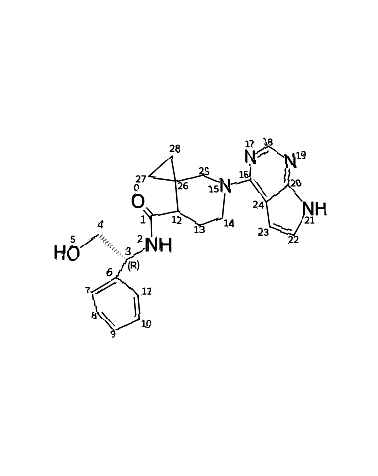 O=C(N[C@@H](CO)c1ccccc1)C1CCN(c2ncnc3[nH]ccc23)CC12CC2